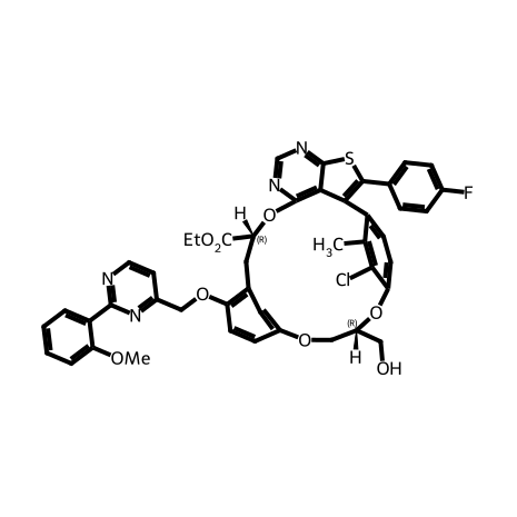 CCOC(=O)[C@H]1Cc2cc(ccc2OCc2ccnc(-c3ccccc3OC)n2)OC[C@@H](CO)Oc2ccc(c(C)c2Cl)-c2c(-c3ccc(F)cc3)sc3ncnc(c23)O1